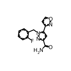 NC(=O)c1cc(-c2ccon2)n(Cc2ccccc2F)n1